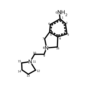 Nc1ccc2c(c1)CN(CCN1CCCC1)C2